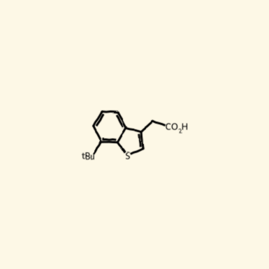 CC(C)(C)c1cccc2c(CC(=O)O)csc12